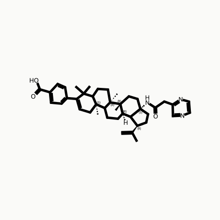 C=C(C)[C@@H]1CC[C@]2(NC(=O)Cc3cnccn3)CC[C@]3(C)[C@H](CCC4[C@@]5(C)CC=C(c6ccc(C(=O)O)cc6)C(C)(C)C5CC[C@]43C)C12